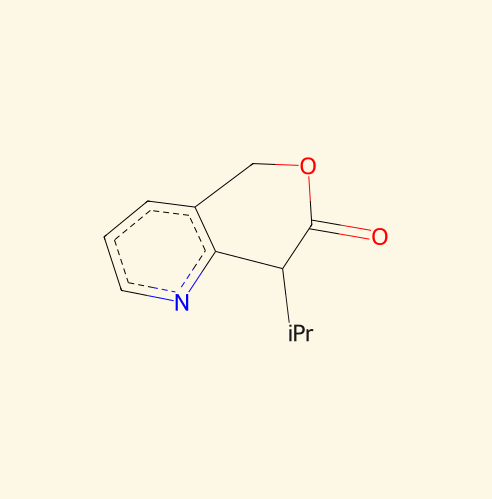 CC(C)C1C(=O)OCc2cccnc21